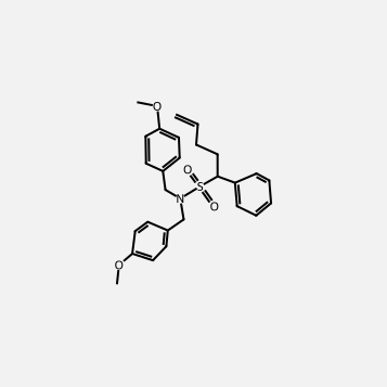 C=CCCC(c1ccccc1)S(=O)(=O)N(Cc1ccc(OC)cc1)Cc1ccc(OC)cc1